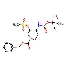 CC(C)(C)OC(=O)NC1CCN(C(=O)OCc2ccccc2)CC1OS(C)(=O)=O